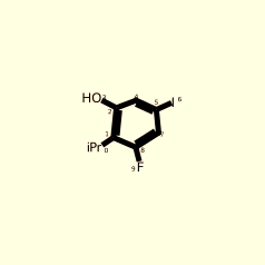 CC(C)c1c(O)cc(I)cc1F